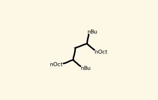 CCCCCCCCC([CH]C(CCCC)CCCCCCCC)CCCC